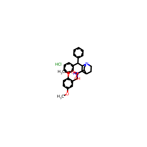 COc1ccc(OC)c(CNC2C3CCN(CC3C(=O)O)C2C(c2ccccc2)c2ccccc2)c1.Cl